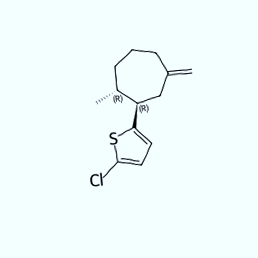 C=C1CCC[C@@H](C)[C@H](c2ccc(Cl)s2)C1